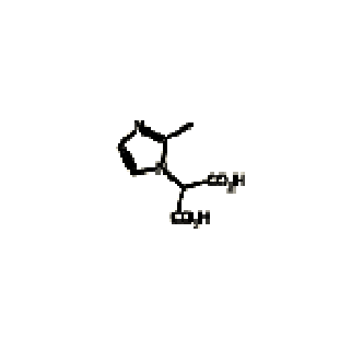 Cc1nccn1C(C(=O)O)C(=O)O